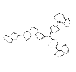 c1ccc2cc(-c3ccc4c(ccc5cc(N(c6ccc(-c7cccc8ccncc78)cc6)c6ccc(-c7cccc8ccncc78)cc6)ccc54)c3)ccc2c1